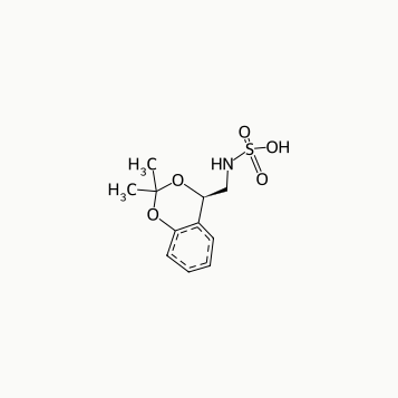 CC1(C)Oc2ccccc2[C@H](CNS(=O)(=O)O)O1